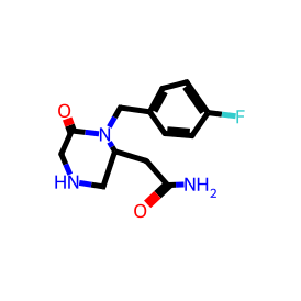 NC(=O)CC1CNCC(=O)N1Cc1ccc(F)cc1